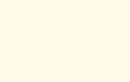 NCCc1cn(Cc2ccc(C(=O)O)o2)c2ccc(OCc3cc4c(cc3Cl)OCO4)cc12